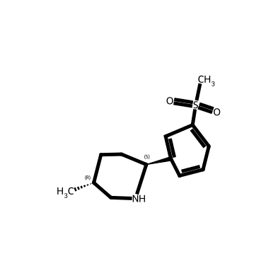 C[C@@H]1CC[C@@H](c2cccc(S(C)(=O)=O)c2)NC1